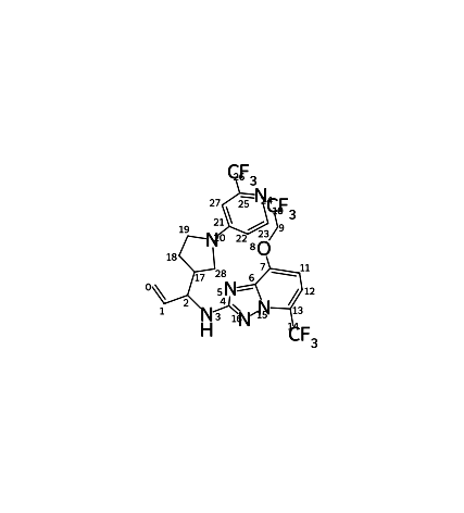 C=CC(Nc1nc2c(OCC(F)(F)F)ccc(C(F)(F)F)n2n1)C1CCN(c2ccnc(C(F)(F)F)c2)C1